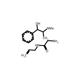 C=CCNC(=O)CN.CNC(C)C(O)c1ccccc1